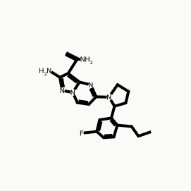 C=C(N)c1c(N)nn2ccc(N3CCCC3c3cc(F)ccc3CCC)nc12